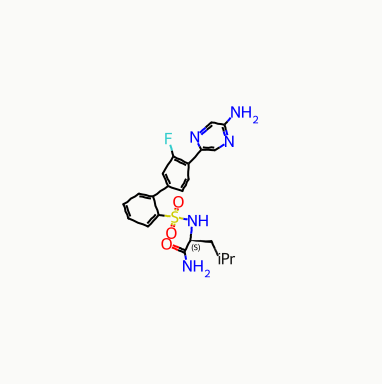 CC(C)C[C@H](NS(=O)(=O)c1ccccc1-c1ccc(-c2cnc(N)cn2)c(F)c1)C(N)=O